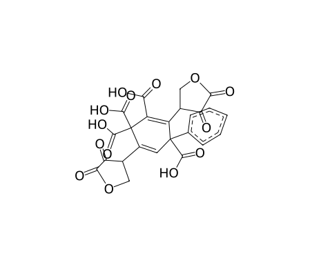 O=C(O)C1=C(C2COC(=O)C2=O)C(C(=O)O)(c2ccccc2)C=C(C2COC(=O)C2=O)C1(C(=O)O)C(=O)O